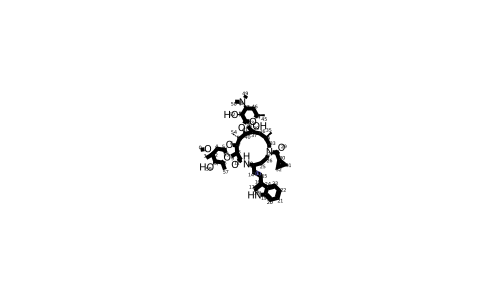 COC1(C)C[C@H](OC2C(C)C(=O)NC(/C=C/c3c[nH]c4ccccc34)CCN(C(=O)C3CC3)C[C@H](C)CC(C)(O)[C@H](OC3O[C@H](C)C[C@H](N(C)C)[C@H]3O)[C@H]2C)OC(C)[C@@H]1O